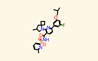 Cc1cccc(S(=O)(=O)NC(=O)c2ccc(-c3cc(F)cc(OCC(C)C)c3)nc2N2CC(C)CC23CCC3)n1